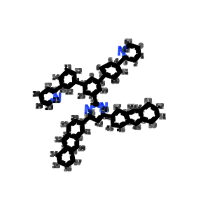 c1ccc(-c2ccc(-c3cc(-c4cccc(-c5ccccn5)c4)cc(-c4nc(-c5ccc6cc7ccccc7cc6c5)cc(-c5ccc6cc7ccccc7cc6c5)n4)c3)cc2)nc1